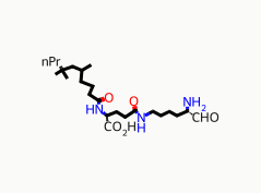 CCCC(C)(C)CC(C)CCCC(=O)N[C@@H](CCC(=O)NCCCC[C@H](N)C=O)C(=O)O